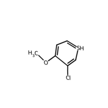 COC1=CC=[SH]C=C1Cl